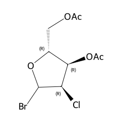 CC(=O)OC[C@H]1OC(Br)[C@H](Cl)[C@@H]1OC(C)=O